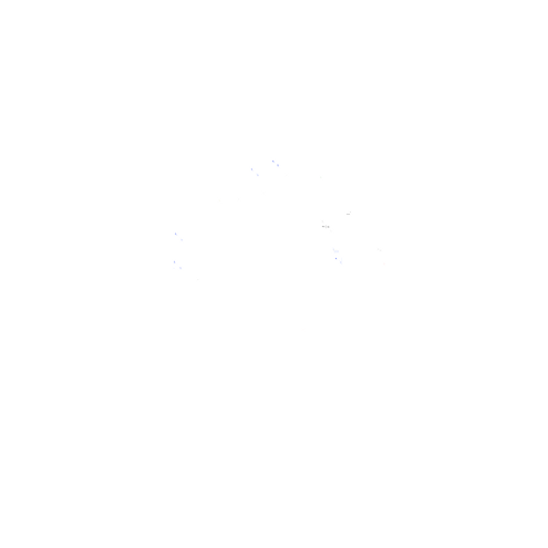 COC(=O)c1c(C)c2c3c(Cl)ccc2n1CCCOc1cc(cc2ccccc12)CCc1cc(nn1C)CSCc1nn(C)c(C)c1-3